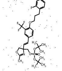 CC1=NC(/C=C/c2ccc(OCCCc3ccccc3F)c(C(F)(F)F)c2)(COP(=O)(OC(C)(C)C)OC(C)(C)C)CO1